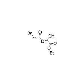 CCOC(=O)C(C)OC(=O)CBr